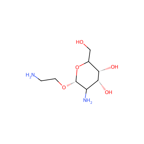 NCCO[C@@H]1OC(CO)[C@H](O)[C@H](O)C1N